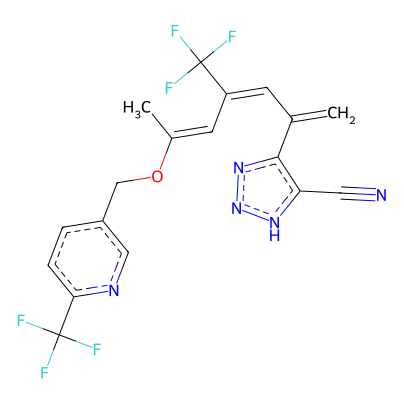 C=C(/C=C(\C=C(/C)OCc1ccc(C(F)(F)F)nc1)C(F)(F)F)c1nn[nH]c1C#N